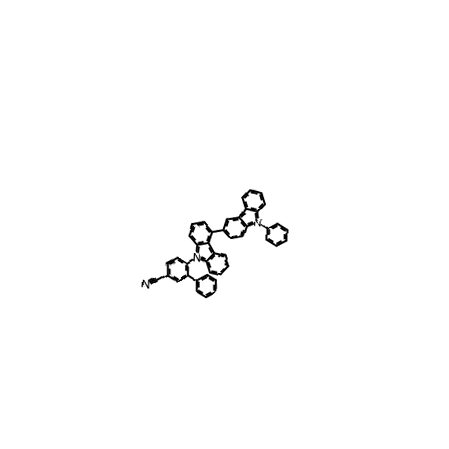 N#Cc1ccc(-n2c3ccccc3c3c(-c4ccc5c(c4)c4ccccc4n5-c4ccccc4)cccc32)c(-c2ccccc2)c1